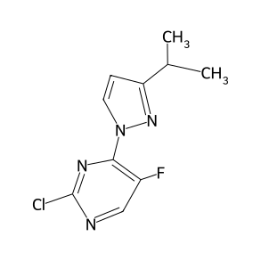 CC(C)c1ccn(-c2nc(Cl)ncc2F)n1